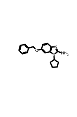 Nc1nc2ccc(OCc3ccccc3)cc2n1C1CCCC1